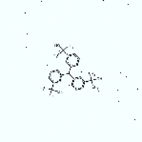 CC(C)(O)c1cccc(C(c2cccc(C(C)(C)O)c2)c2cccc(C(C)(C)O)c2)c1